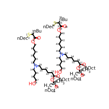 CCCCCCCCCCSC(CCCC)C(=O)OCCCCCCN(CCCCO)CCCCCC(OCCCCCCCC)O[Si](C)(C)OCCCCCCCC.CCCCCCCCCCSC(CCCC)C(=O)OCCCCCCN(CCCCO)CCCCCC(OCCCCCCCC)O[Si](C)(C)OCCCCCCCC